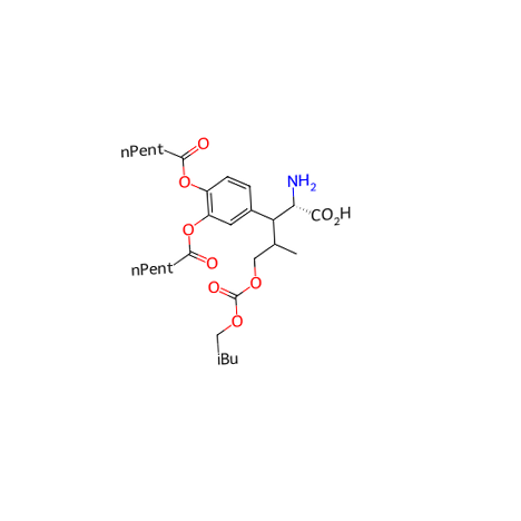 CCCCCC(=O)Oc1ccc(C(C(C)COC(=O)OCC(C)CC)[C@H](N)C(=O)O)cc1OC(=O)CCCCC